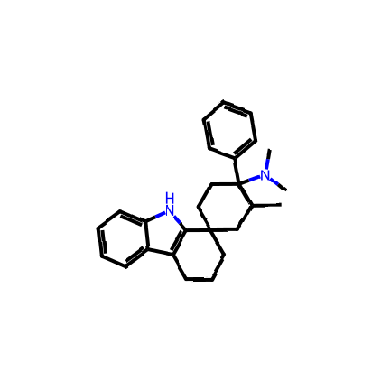 CC1CC2(CCCc3c2[nH]c2ccccc32)CCC1(c1ccccc1)N(C)C